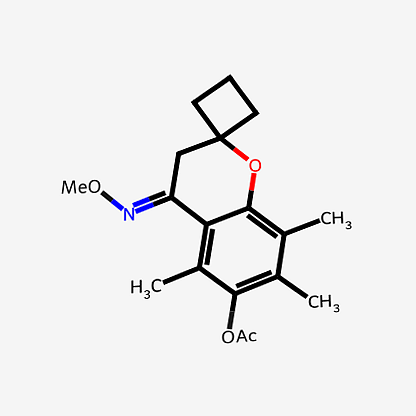 CO/N=C1\CC2(CCC2)Oc2c(C)c(C)c(OC(C)=O)c(C)c21